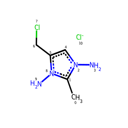 Cc1n(N)cc(CCl)[n+]1N.[Cl-]